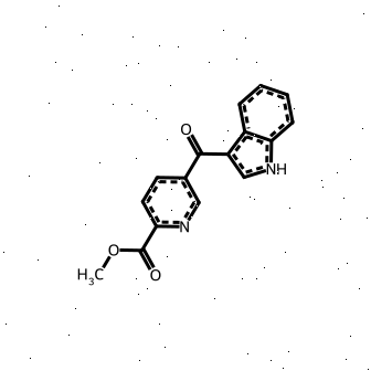 COC(=O)c1ccc(C(=O)c2c[nH]c3ccccc23)cn1